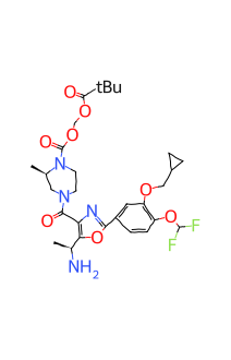 C[C@H](N)c1oc(-c2ccc(OC(F)F)c(OCC3CC3)c2)nc1C(=O)N1CCN(C(=O)OCOC(=O)C(C)(C)C)[C@H](C)C1